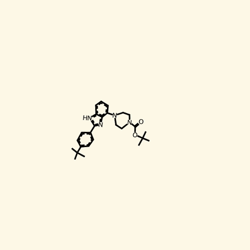 CC(C)(C)OC(=O)N1CCN(c2cccc3[nH]c(-c4ccc(C(C)(C)C)cc4)nc23)CC1